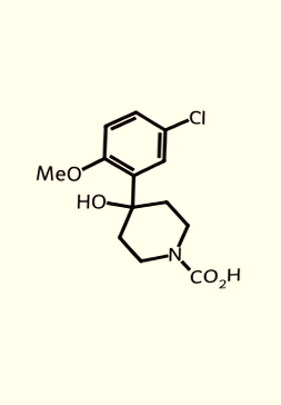 COc1ccc(Cl)cc1C1(O)CCN(C(=O)O)CC1